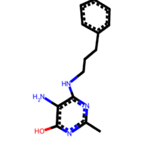 Cc1nc(O)c(N)c(NCCCc2ccccc2)n1